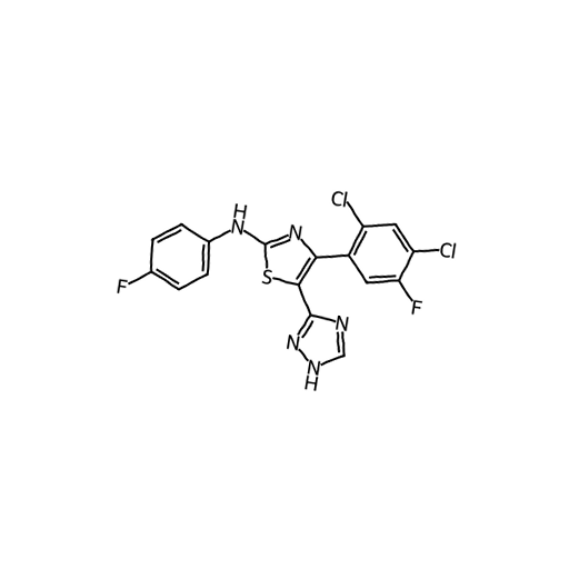 Fc1ccc(Nc2nc(-c3cc(F)c(Cl)cc3Cl)c(-c3nc[nH]n3)s2)cc1